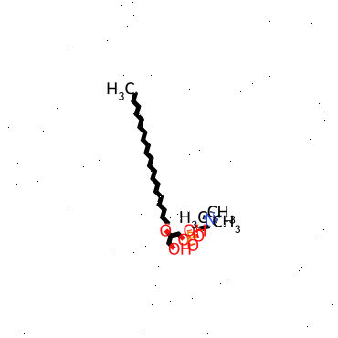 CCCCCCCCCCCCCCCCCCCCCCOC(CO)COP(=O)(O)OCC[N+](C)(C)C